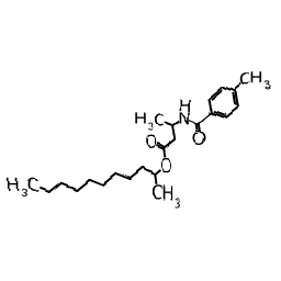 CCCCCCCCCC(C)OC(=O)CC(C)NC(=O)c1ccc(C)cc1